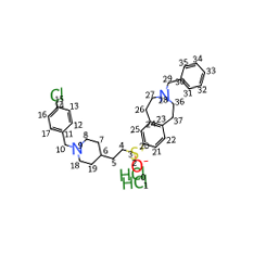 Cl.Cl.[O-][S+](CCC1CCN(Cc2ccc(Cl)cc2)CC1)c1ccc2c(c1)CCN(Cc1ccccc1)CC2